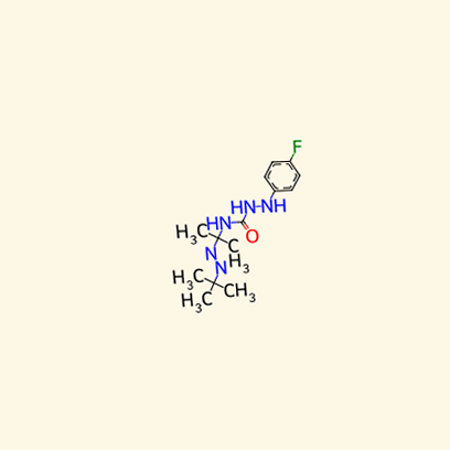 CC(C)(C)N=NC(C)(C)NC(=O)NNc1ccc(F)cc1